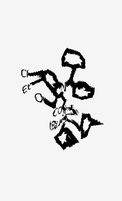 CCc1c(Cl)ccc2c1c(C(=O)C(=O)O)c(CCO[Si](c1ccccc1)(c1ccccc1)C(C)(C)C)n2C(c1ccccc1)c1ccccc1